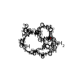 COc1ccc(C[C@@H]2NC(=O)[C@@H]([C@@H](C)O)NC(=O)[C@@H]3[C@@H]4CCN3C(=O)[C@@H]3Cc5cn(c6ccc(F)cc56)CCCCOc5cc(ccc5CNC(=O)CCC(=O)N[C@@H](C)C(=O)N[C@H](CN)C(=O)N[C@@H](Cc5cccc(c5)CNC(=O)CO4)C(=O)N3)CCNC(=O)[C@@]34C=C2N3CCC4)cc1